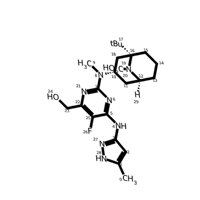 Cc1cc(Nc2nc(N(C)[C@H]3C[C@@H]4CCC[C@](C(C)(C)C)(C3)N4C(=O)O)nc(CO)c2F)n[nH]1